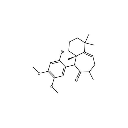 COc1cc(Br)c(C2C(=O)C(C)CC=C3C(C)(C)CCC[C@]32C)cc1OC